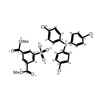 COC(=O)c1cc(C(=O)OC)cc(S(=O)(=O)[O-])c1.Clc1ccc([S+](c2ccc(Cl)cc2)c2ccc(Cl)cc2)cc1